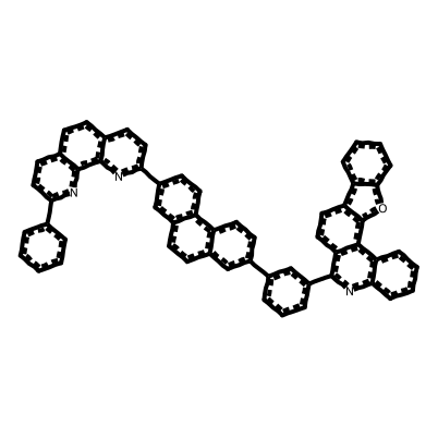 c1ccc(-c2ccc3ccc4ccc(-c5ccc6c(ccc7cc(-c8cccc(-c9nc%10ccccc%10c%10c9ccc9c%11ccccc%11oc9%10)c8)ccc76)c5)nc4c3n2)cc1